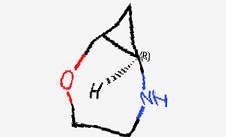 C1COC2C[C@H]2N1